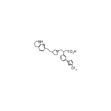 O=C(O)CC(CN1CCC(CCc2ccc3c(n2)NCCC3)C1)c1cccc(-n2ccc(C(F)(F)F)n2)c1